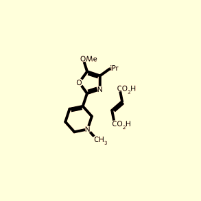 COc1oc(C2=CCCN(C)C2)nc1C(C)C.O=C(O)C=CC(=O)O